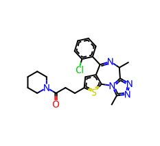 Cc1nnc2n1-c1sc(CCC(=O)N3CCCCC3)cc1C(c1ccccc1Cl)=NC2C